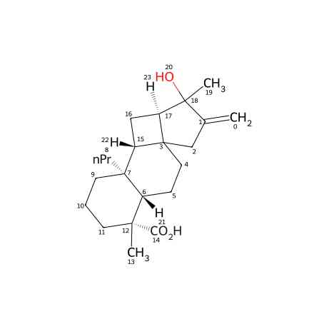 C=C1CC23CC[C@H]4[C@@](CCC)(CCC[C@@]4(C)C(=O)O)[C@@H]2C[C@H]3C1(C)O